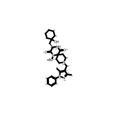 CCCCN1C(=O)[C@@H](CC2(O)CCCCC2)NC(=O)C12CCN(Cc1c(C)nn(-c3ccccc3)c1C)CC2